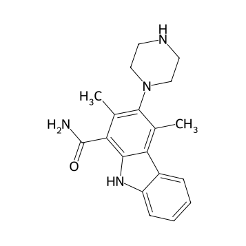 Cc1c(N2CCNCC2)c(C)c2c([nH]c3ccccc32)c1C(N)=O